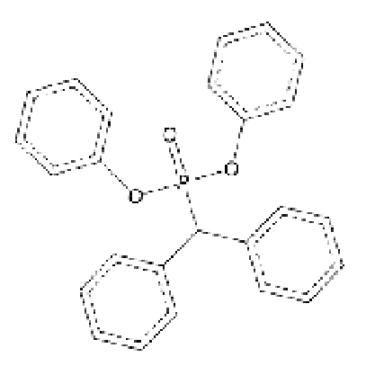 O=P(Oc1ccccc1)(Oc1ccccc1)C(c1ccccc1)c1ccccc1